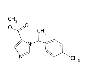 COC(=O)c1cncn1C(C)c1ccc(C)cc1